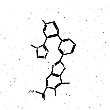 COC(=O)c1cc2nc(-c3cccc(-c4ccc(F)cc4-c4nncn4C)c3)oc2c(C)c1F